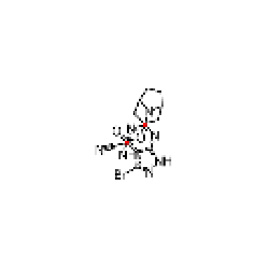 N#Cc1nc(N2C3CCC2CC(OC(N)=O)C3)nc2[nH]nc(Br)c12